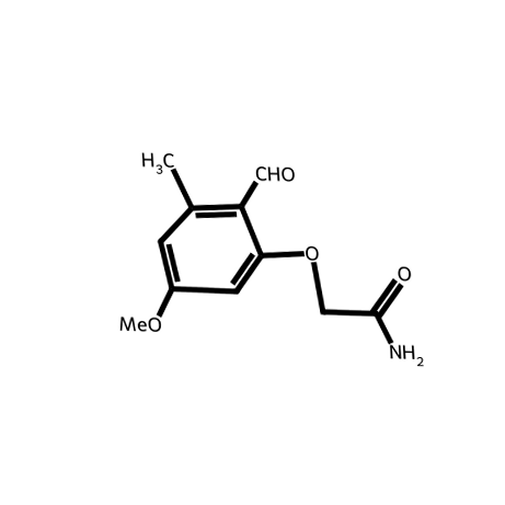 COc1cc(C)c(C=O)c(OCC(N)=O)c1